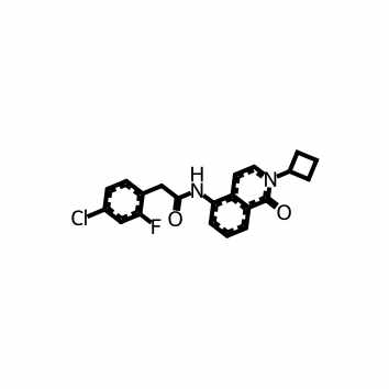 O=C(Cc1ccc(Cl)cc1F)Nc1cccc2c(=O)n(C3CCC3)ccc12